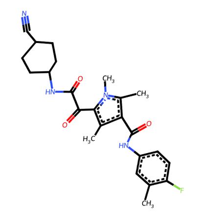 Cc1cc(NC(=O)c2c(C)c(C(=O)C(=O)NC3CCC(C#N)CC3)n(C)c2C)ccc1F